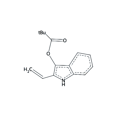 C=Cc1[nH]c2ccccc2c1OC(=O)C(C)(C)C